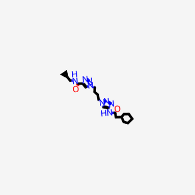 O=C(CC1CCCCC1)Nc1cn(CCCCn2cc(C(=O)NCC3CC3)nn2)nn1